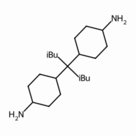 CCC(C)C(C(C)CC)(C1CCC(N)CC1)C1CCC(N)CC1